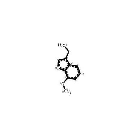 CCc1coc2c(OC)cccc12